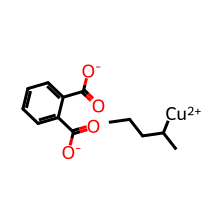 CCC[CH](C)[Cu+2].O=C([O-])c1ccccc1C(=O)[O-]